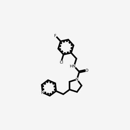 O=C(NCc1ccc(F)cc1Cl)N1CCC(Cc2cccnc2)C1